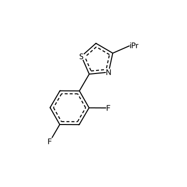 CC(C)c1csc(-c2ccc(F)cc2F)n1